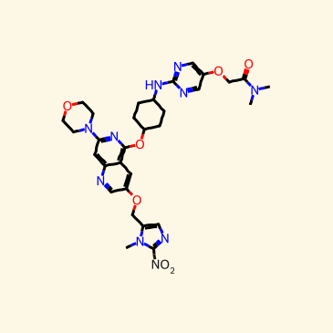 CN(C)C(=O)COc1cnc(NC2CCC(Oc3nc(N4CCOCC4)cc4ncc(OCc5cnc([N+](=O)[O-])n5C)cc34)CC2)nc1